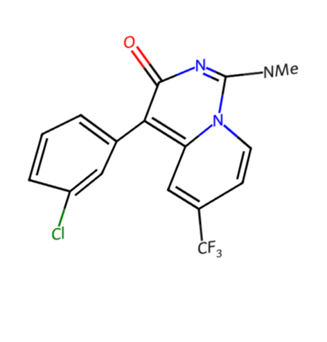 CNc1nc(=O)c(-c2cccc(Cl)c2)c2cc(C(F)(F)F)ccn12